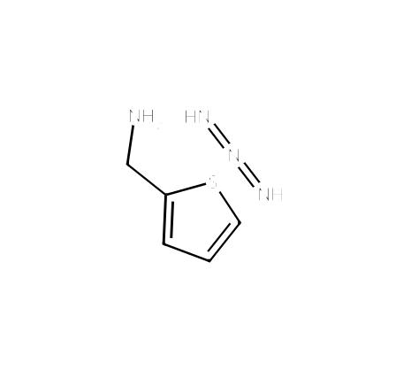 N=[N+]=N.NCc1cccs1